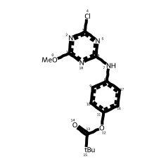 COc1nc(Cl)nc(Nc2ccc(OC(=O)C(C)(C)C)cc2)n1